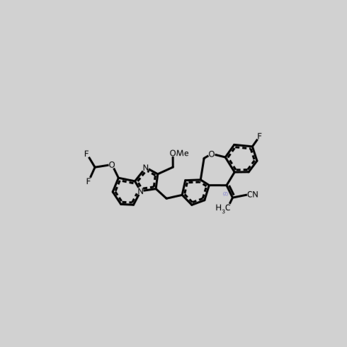 COCc1nc2c(OC(F)F)cccn2c1Cc1ccc2c(c1)COc1cc(F)ccc1/C2=C(/C)C#N